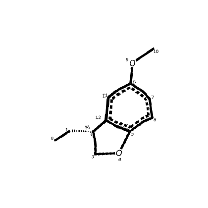 CC[C@H]1COc2ccc(OC)cc21